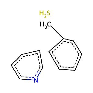 Cc1ccccc1.S.c1ccncc1